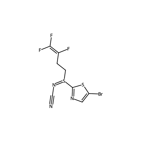 N#C/N=S(/CCC(F)=C(F)F)c1ncc(Br)s1